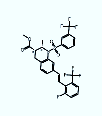 COC(=O)[C@@H]1Cc2ccc(C=Cc3c(F)cccc3C(F)(F)F)cc2N(S(=O)(=O)c2cccc(C(F)(F)F)c2)[C@@H]1C